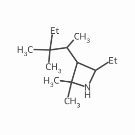 CCC1NC(C)(C)C1C(C)C(C)(C)CC